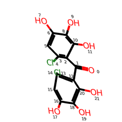 O=C(c1c(Cl)cc(O)c(O)c1O)c1c(Cl)cc(O)c(O)c1O